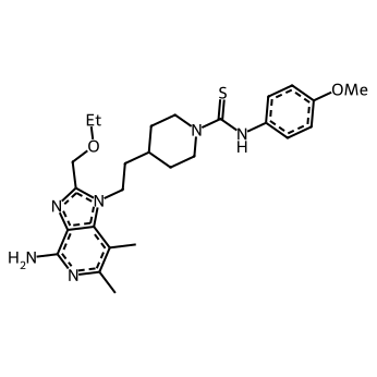 CCOCc1nc2c(N)nc(C)c(C)c2n1CCC1CCN(C(=S)Nc2ccc(OC)cc2)CC1